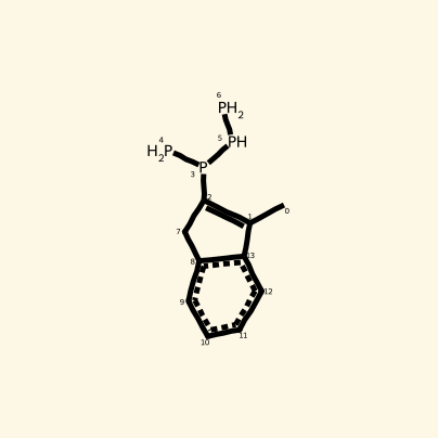 CC1=C(P(P)PP)Cc2ccccc21